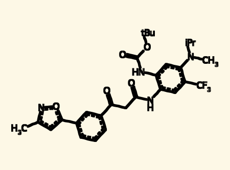 Cc1cc(-c2cccc(C(=O)CC(=O)Nc3cc(C(F)(F)F)c(N(C)C(C)C)cc3NC(=O)OC(C)(C)C)c2)on1